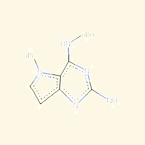 CCCCNc1nc(N)nc2ccn(C(C)C)c12